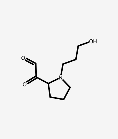 O=CC(=O)C1CCCN1CCCO